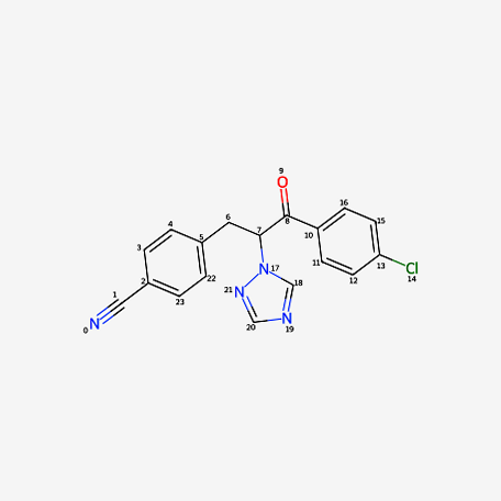 N#Cc1ccc(CC(C(=O)c2ccc(Cl)cc2)n2cncn2)cc1